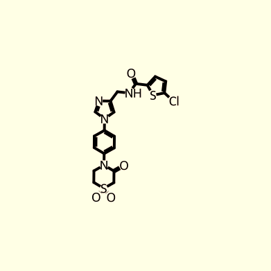 O=C(NCc1cn(-c2ccc(N3CCS(=O)(=O)CC3=O)cc2)cn1)c1ccc(Cl)s1